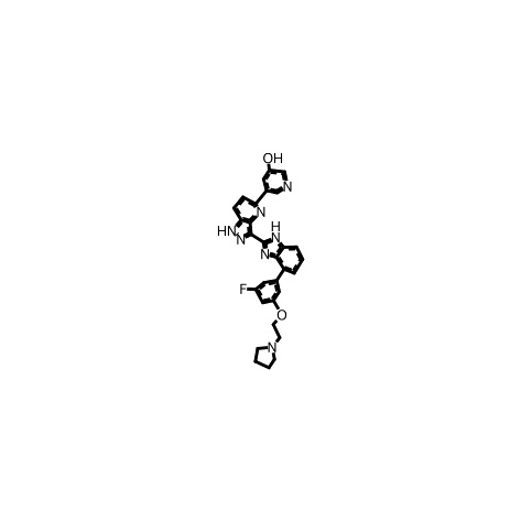 Oc1cncc(-c2ccc3[nH]nc(-c4nc5c(-c6cc(F)cc(OCCN7CCCC7)c6)cccc5[nH]4)c3n2)c1